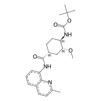 CO[C@@H]1C[C@H](C(=O)Nc2cccc3ccc(C)nc23)CC[C@H]1NC(=O)OC(C)(C)C